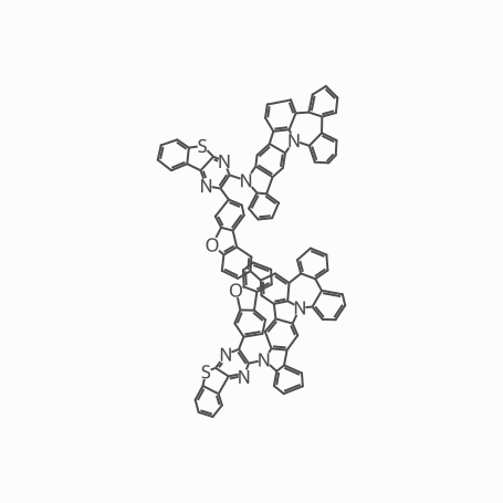 c1ccc2c(c1)-c1ccccc1-n1c3cc4c5ccccc5n(-c5nc6sc7ccccc7c6nc5-c5ccc6c(c5)oc5ccc(-c7cc8c9c(c7)c7cc%10c(cc7n9-c7ccccc7-c7ccccc7-8)c7ccccc7n%10-c7nc8c(nc7-c7ccc9c(c7)oc7ccccc79)sc7ccccc78)cc56)c4cc3c3cccc-2c31